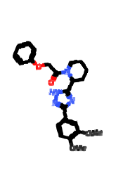 COc1ccc(-c2n[nH]c(C3CCCCN3C(=O)COc3ccccc3)n2)cc1OC